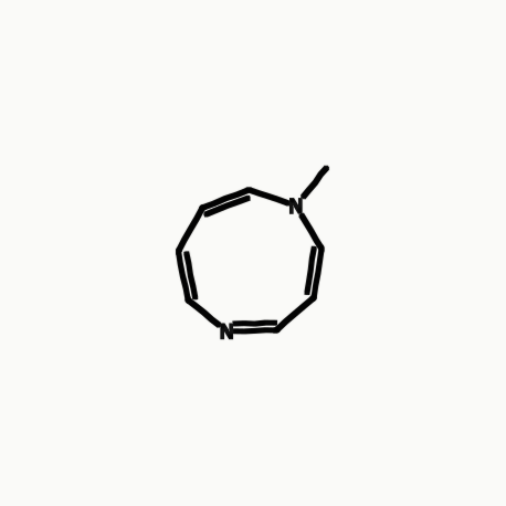 Cn1ccccnccc1